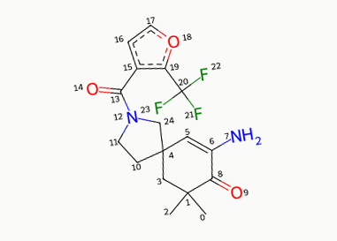 CC1(C)CC2(C=C(N)C1=O)CCN(C(=O)c1ccoc1C(F)(F)F)C2